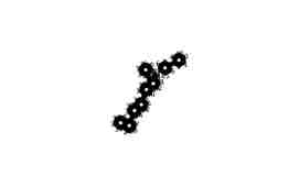 c1ccc(-c2ccc(-n3c4ccccc4c4c5ccc(-c6ccc7cc(-c8cccc9ccccc89)ccc7c6)cc5ccc43)cc2)cc1